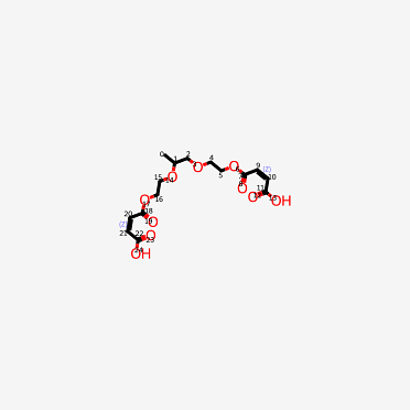 CC(COCCOC(=O)/C=C\C(=O)O)OCCOC(=O)/C=C\C(=O)O